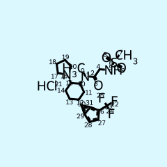 CN(C(=O)CNS(C)(=O)=O)C1CCCCC1N1CCCC1.Cl.FC(F)(F)c1ccc2cc1-2